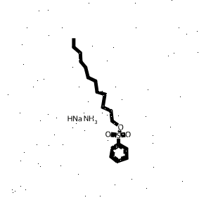 CCCCCCCCCCCCOS(=O)(=O)c1ccccc1.N.[NaH]